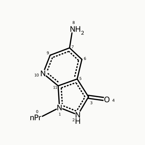 CCCn1[nH]c(=O)c2cc(N)cnc21